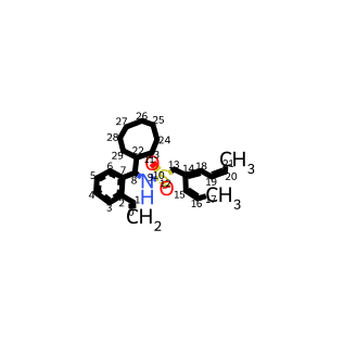 C=Cc1ccccc1C(NS(=O)(=O)CC(/C=C\C)=C/C=C\C)C1CCCCCCC1